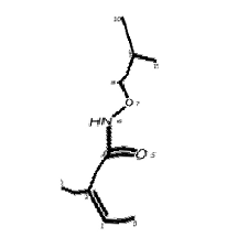 CC=C(C)C(=O)NOCC(C)C